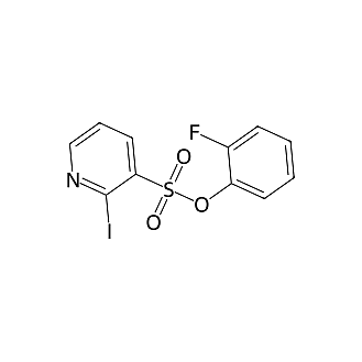 O=S(=O)(Oc1ccccc1F)c1cccnc1I